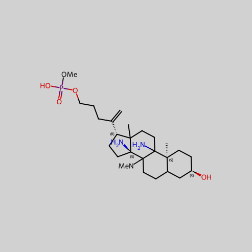 C=C(CCCOP(=O)(O)OC)[C@H]1CC[C@]2(N)C1(C)CCC1(N)C2(NC)CCC2C[C@H](O)CC[C@@]21C